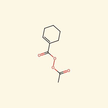 CC(=O)OOC(=O)C1=CCCCC1